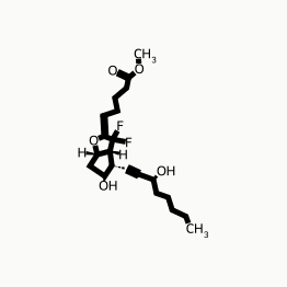 CCCCC[C@H](O)C#C[C@H]1[C@@H]2[C@H](C[C@H]1O)OC(=CCCCC(=O)OC)C2(F)F